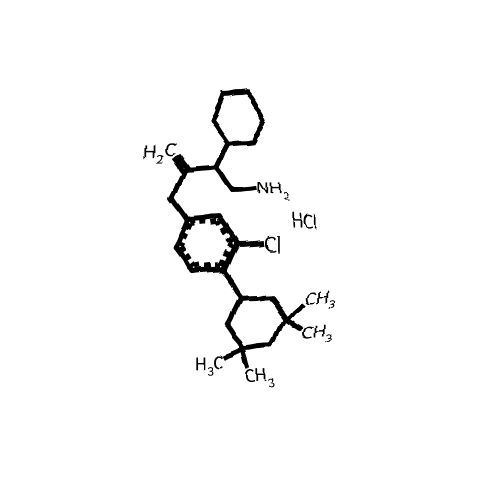 C=C(Cc1ccc(C2CC(C)(C)CC(C)(C)C2)c(Cl)c1)C(CN)C1CCCCC1.Cl